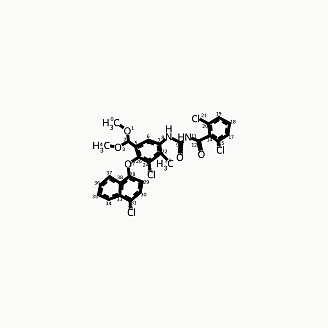 COC(OC)c1cc(NC(=O)NC(=O)c2c(Cl)cccc2Cl)c(C)c(Cl)c1Oc1ccc(Cl)c2ccccc12